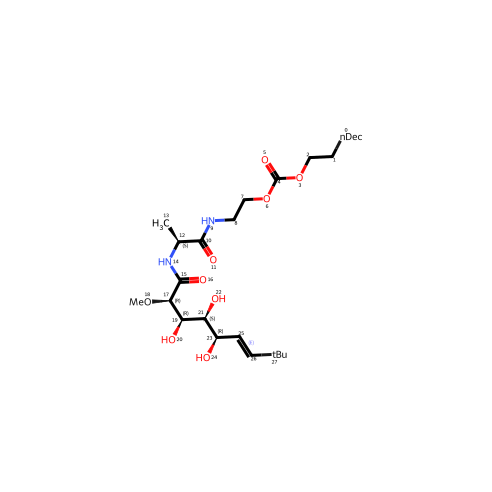 CCCCCCCCCCCCOC(=O)OCCNC(=O)[C@H](C)NC(=O)[C@H](OC)[C@H](O)[C@@H](O)[C@H](O)/C=C/C(C)(C)C